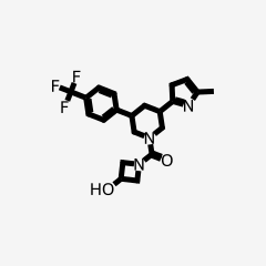 CC1=CCC(C2CC(c3ccc(C(F)(F)F)cc3)CN(C(=O)N3CC(O)C3)C2)=N1